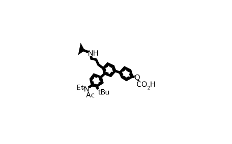 CCN(C(C)=O)c1ccc(-c2cc(-c3ccc(OC(=O)O)cc3)ccc2CCCNC2CC2)cc1C(C)(C)C